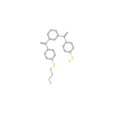 C=C(c1ccc(SC)cc1)c1cccc(C(=C)c2ccc(SCCCC)cc2)c1